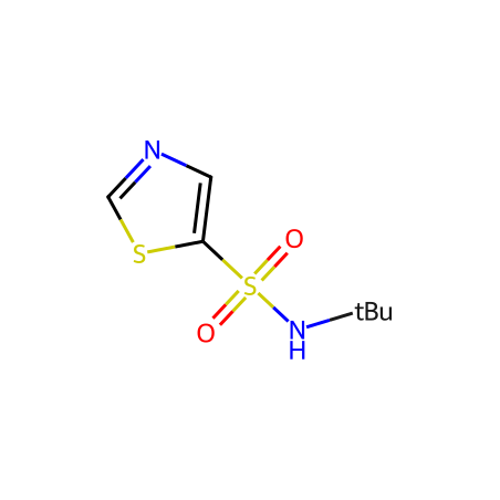 CC(C)(C)NS(=O)(=O)c1cncs1